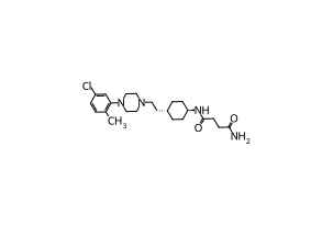 Cc1ccc(Cl)cc1N1CCN(CC[C@H]2CC[C@H](NC(=O)CCC(N)=O)CC2)CC1